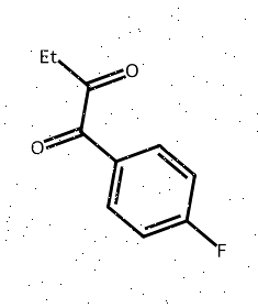 CCC(=O)C(=O)c1ccc(F)cc1